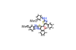 COc1cccc(Nc2nc(-c3ccccc3)c(C(=O)c3sc(Nc4cccc(OC)c4)nc3-c3ccccc3)s2)c1